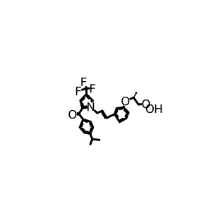 CC(C)c1ccc(C(=O)c2cc(C(F)(F)F)cn2C/C=C/c2cccc(O[C@@H](C)COO)c2)cc1